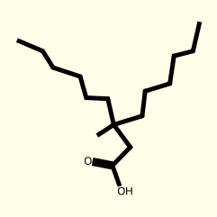 CCCCCCC(C)(CCCCCC)CC(=O)O